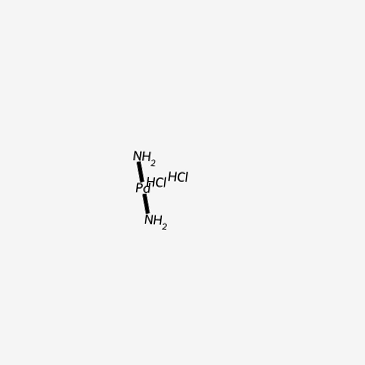 Cl.Cl.[NH2][Pd][NH2]